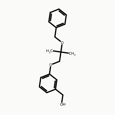 CC(C)(COc1cccc(CO)c1)OCc1ccccc1